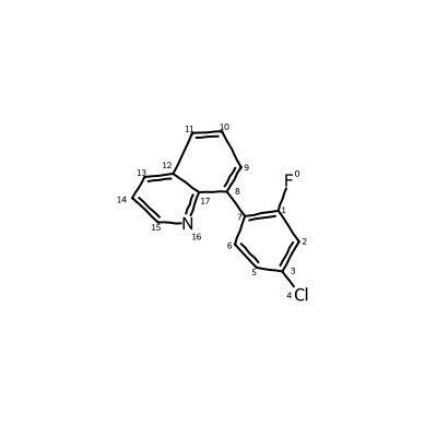 Fc1cc(Cl)ccc1-c1cccc2cccnc12